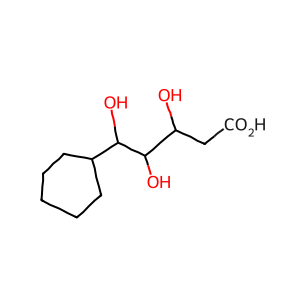 O=C(O)CC(O)C(O)C(O)C1CCCCC1